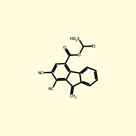 C=C1c2ccccc2-c2c(C(=O)OC(CC)S(=O)(=O)O)cc(C#N)c(C#N)c21